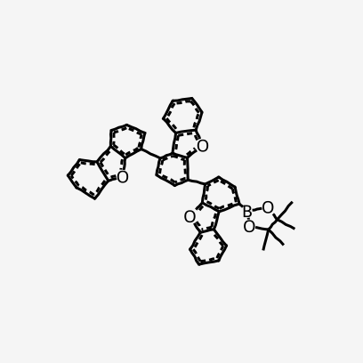 CC1(C)OB(c2ccc(-c3ccc(-c4cccc5c4oc4ccccc45)c4c3oc3ccccc34)c3oc4ccccc4c23)OC1(C)C